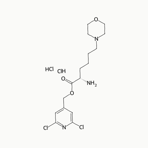 Cl.Cl.N[C@@H](CCCCN1CCOCC1)C(=O)OCc1cc(Cl)nc(Cl)c1